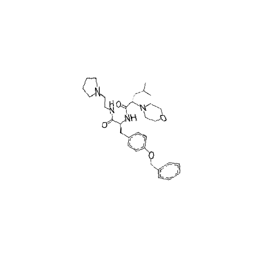 CC(C)C[C@@H](C(=O)N[C@@H](Cc1ccc(OCc2ccccc2)cc1)C(=O)NCCN1CCCC1)N1CCOCC1